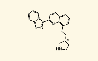 c1cc(CC[C@@H]2CCNC2)c2nc(-c3nnc4ccccn34)ccc2c1